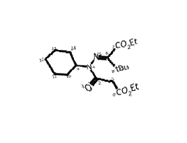 CCOC(=O)CC(=O)N(N=C(C(=O)OCC)C(C)(C)C)C1CCCCC1